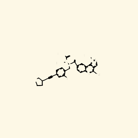 CC(=O)N(C)N(Cc1ccc(C#CC2CCOC2)cc1F)C(=O)c1ccc2nc(N)c3cnn(C)c3c2c1